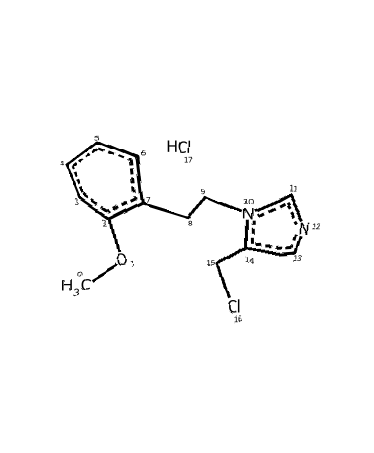 COc1ccccc1CCn1cncc1CCl.Cl